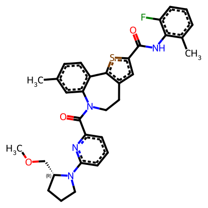 COC[C@H]1CCCN1c1cccc(C(=O)N2CCc3cc(C(=O)Nc4c(C)cccc4F)sc3-c3ccc(C)cc32)n1